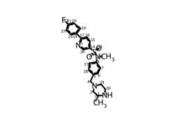 C[C@H]1CN(Cc2ccc(N(C)S(=O)(=O)c3ccc(-c4ccc(F)cc4)nc3)cc2)CCN1